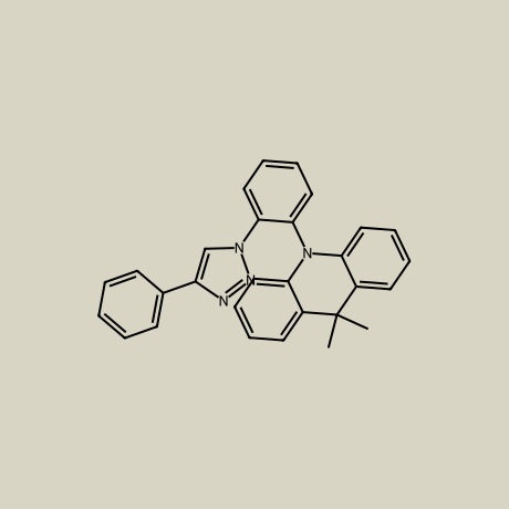 CC1(C)c2ccccc2N(c2ccccc2-n2cc(-c3ccccc3)nn2)c2ccccc21